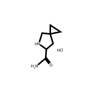 Cl.NC(=O)C1CC2(CC2)CN1